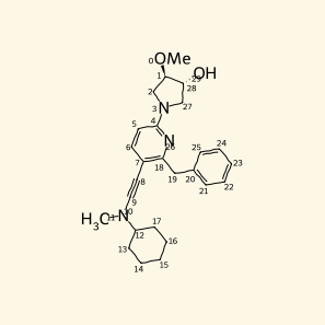 CO[C@@H]1CN(c2ccc(C#CN(C)C3CCCCC3)c(Cc3ccccc3)n2)C[C@H]1O